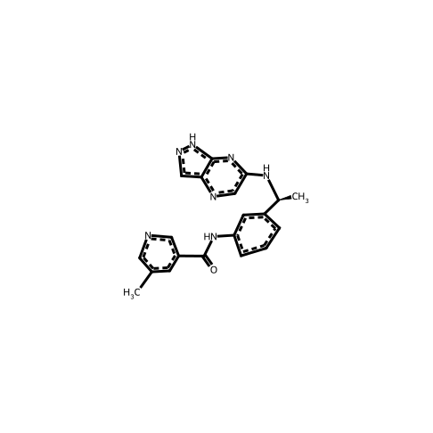 Cc1cncc(C(=O)Nc2cccc([C@H](C)Nc3cnc4cn[nH]c4n3)c2)c1